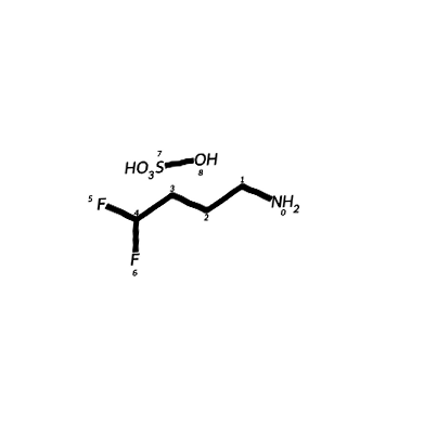 NCCCC(F)F.O=S(=O)(O)O